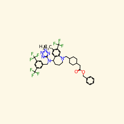 Cc1cc2c(cc1C(F)(F)F)N(CC1CCC(CC(=O)OCc3ccccc3)CC1)CCCC2N(Cc1cc(C(F)(F)F)cc(C(F)(F)F)c1)c1nnn(C)n1